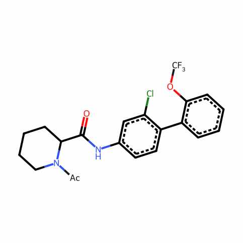 CC(=O)N1CCCCC1C(=O)Nc1ccc(-c2ccccc2OC(F)(F)F)c(Cl)c1